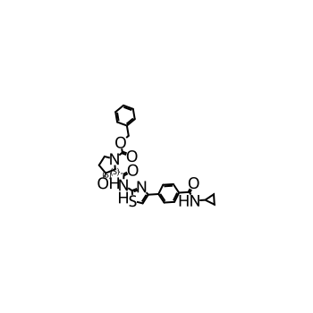 O=C(NC1CC1)c1ccc(-c2csc(NC(=O)[C@@H]3[C@@H](O)CCN3C(=O)OCc3ccccc3)n2)cc1